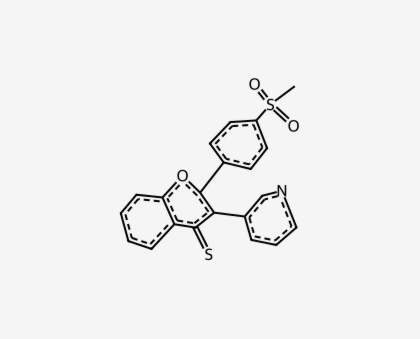 CS(=O)(=O)c1ccc(-c2oc3ccccc3c(=S)c2-c2cccnc2)cc1